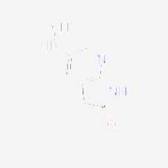 CBc1cnc2c(c1)CC(=O)N2